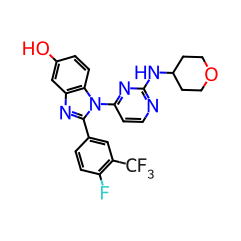 Oc1ccc2c(c1)nc(-c1ccc(F)c(C(F)(F)F)c1)n2-c1ccnc(NC2CCOCC2)n1